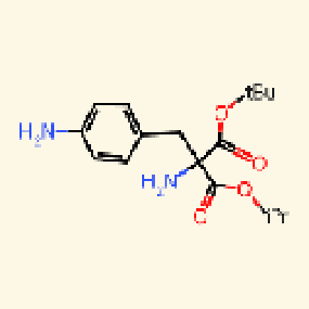 CC(C)OC(=O)C(N)(Cc1ccc(N)cc1)C(=O)OC(C)(C)C